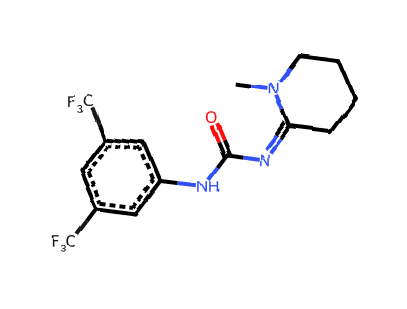 CN1CCCCC1=NC(=O)Nc1cc(C(F)(F)F)cc(C(F)(F)F)c1